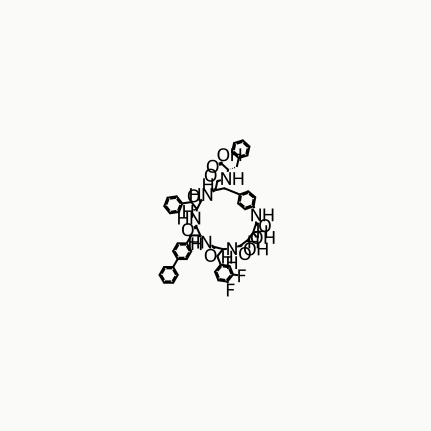 O=C(O)[C@H](Cc1ccccc1)NC(=O)[C@@H]1Cc2ccc(cc2)NC(=O)[C@H](O)[C@@H](O)C(=O)N[C@H](Cc2ccc(F)c(F)c2)C(=O)N[C@@H](Cc2ccc(-c3ccccc3)cc2)C(=O)N[C@H](Cc2ccccc2)C(=O)N1